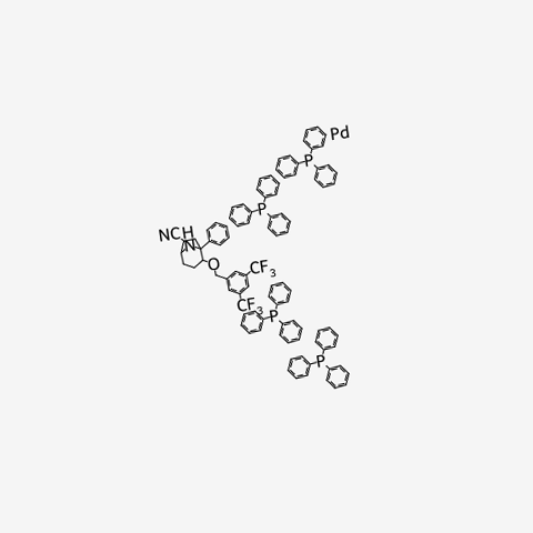 N#CC1CC2(c3ccccc3)NC1CCC2OCc1cc(C(F)(F)F)cc(C(F)(F)F)c1.[Pd].c1ccc(P(c2ccccc2)c2ccccc2)cc1.c1ccc(P(c2ccccc2)c2ccccc2)cc1.c1ccc(P(c2ccccc2)c2ccccc2)cc1.c1ccc(P(c2ccccc2)c2ccccc2)cc1